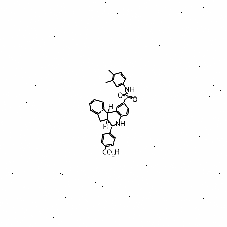 Cc1ccc(NS(=O)(=O)c2ccc3c(c2)[C@H]2c4ccccc4C[C@H]2[C@H](c2ccc(C(=O)O)cc2)N3)cc1C